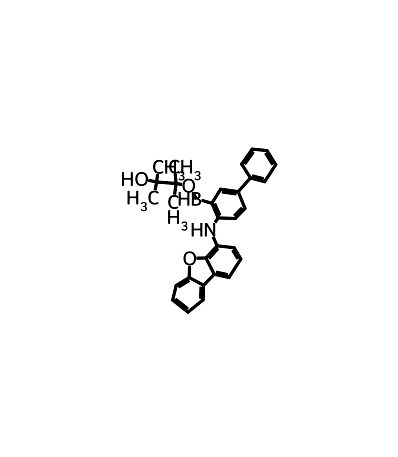 CC(C)(O)C(C)(C)OBc1cc(-c2ccccc2)ccc1Nc1cccc2c1oc1ccccc12